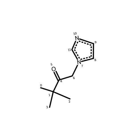 CC(C)(C)C(=O)Cn1ccnc1